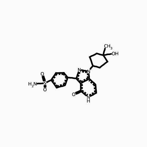 CC1(O)CCC(n2nc(-c3ccc(S(N)(=O)=O)cc3)c3c(=O)[nH]ccc32)CC1